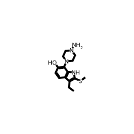 CCc1c(SC)[nH]c2c(N3CCN(N)CC3)c(O)ccc12